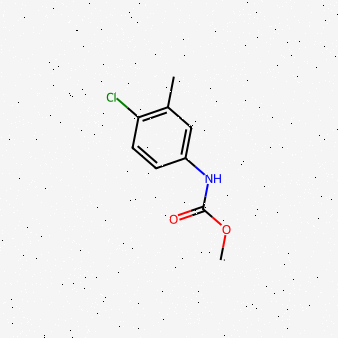 [CH2]OC(=O)Nc1ccc(Cl)c(C)c1